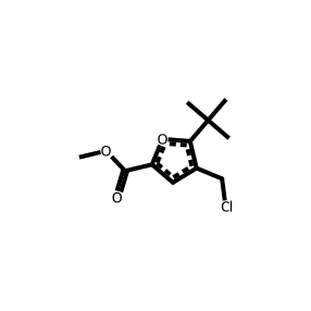 COC(=O)c1cc(CCl)c(C(C)(C)C)o1